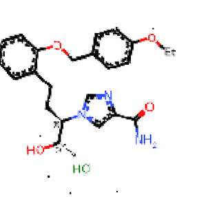 CCOc1ccc(COc2ccccc2CC[C@H]([C@H](C)O)n2cnc(C(N)=O)c2)cc1.Cl